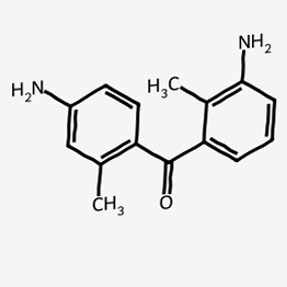 Cc1cc(N)ccc1C(=O)c1cccc(N)c1C